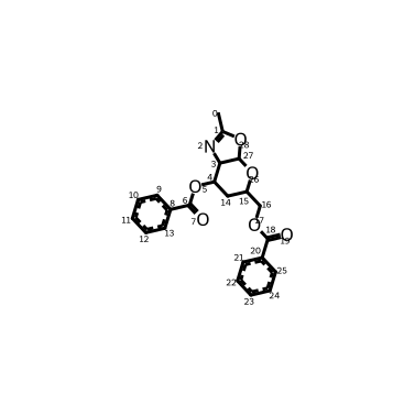 CC1=NC2C(OC(=O)c3ccccc3)CC(COC(=O)c3ccccc3)OC2O1